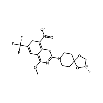 COC1=C2C=C(C(F)(F)F)CC([N+](=O)[O-])=C2SC(N2CCC3(CC2)OC[C@H](C)O3)=N1